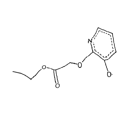 CCOC(=O)COc1ncccc1[O]